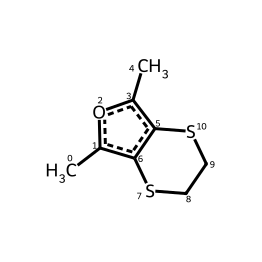 Cc1oc(C)c2c1SCCS2